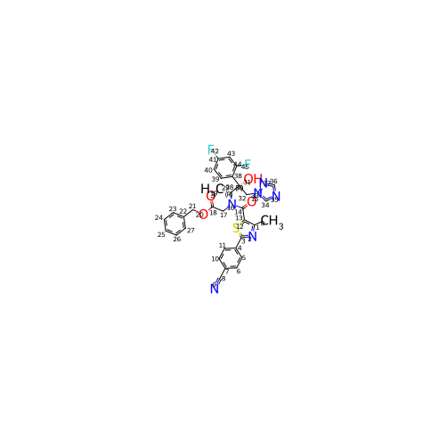 Cc1nc(-c2ccc(C#N)cc2)sc1C(=O)N(CC(=O)OCc1ccccc1)[C@H](C)[C@](O)(Cn1cncn1)c1ccc(F)cc1F